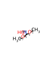 CCOCC(COCC)=NO